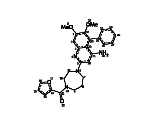 COc1cc2nc(N3CCCN(C(=O)c4ccco4)CC3)cc(N)c2c(-c2ccccc2)c1OC